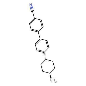 C[C@H]1CC[C@H](c2ccc(-c3ccc(C#N)cc3)cc2)CC1